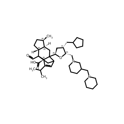 CC(C)C1=CC2CC3(C=O)[C@@H]4CC[C@@H](C)[C@H]4CC2([C@H]2C[C@H](CC4CCCC4)[C@H](CN4CCCC(CN5CCCCC5)C4)O2)[C@]13C(=O)O